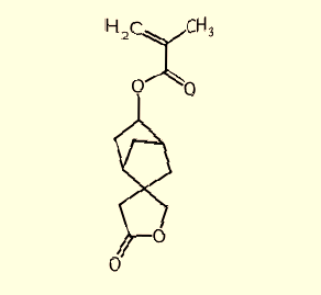 C=C(C)C(=O)OC1CC2CC1CC21COC(=O)C1